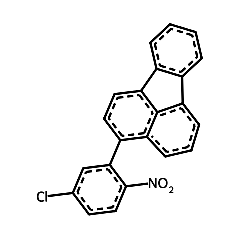 O=[N+]([O-])c1ccc(Cl)cc1-c1ccc2c3c(cccc13)-c1ccccc1-2